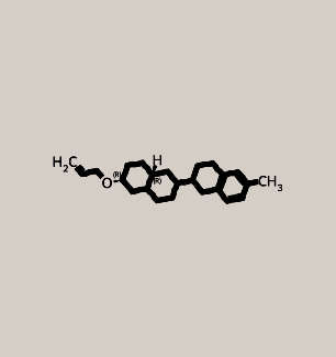 C=CCO[C@@H]1CC[C@@H]2CC(C3CCc4cc(C)ccc4C3)CCC2C1